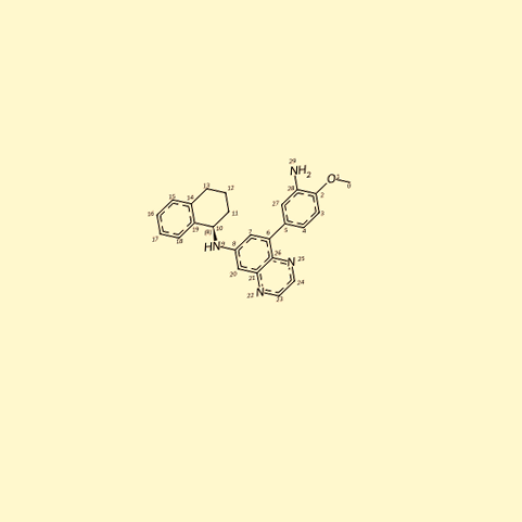 COc1ccc(-c2cc(N[C@@H]3CCCc4ccccc43)cc3nccnc23)cc1N